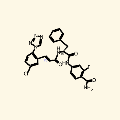 NC(=O)c1ccc(NC(=O)[C@H](Cc2ccccc2)NC(=O)/C=C/c2cc(Cl)ccc2-n2cnnn2)cc1F